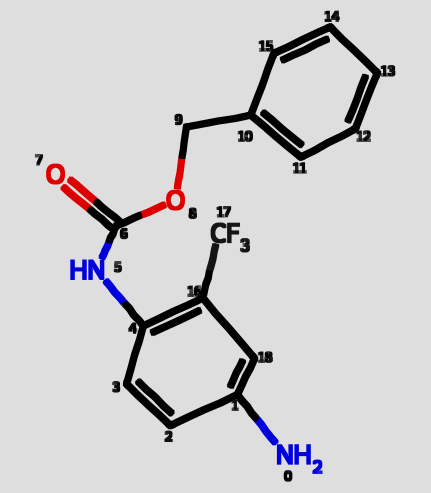 Nc1ccc(NC(=O)OCc2ccccc2)c(C(F)(F)F)c1